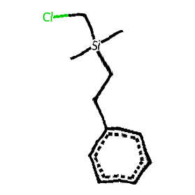 C[Si](C)(CCl)CCc1ccccc1